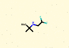 CSC(C)(C)NCC(F)F